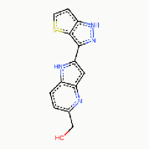 OCc1ccc2[nH]c(-c3n[nH]c4ccsc34)cc2n1